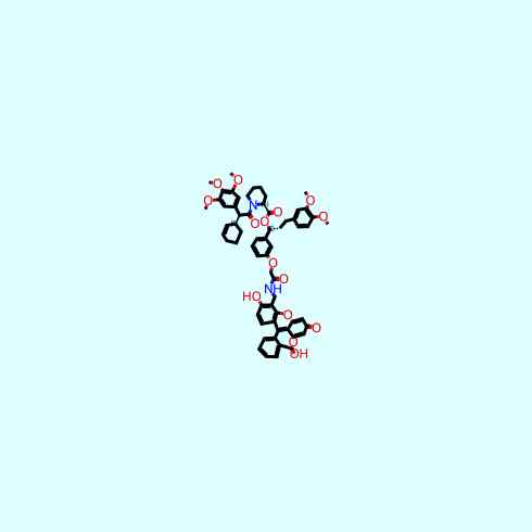 COc1ccc(CC[C@@H](OC(=O)[C@@H]2CCCCN2C(=O)C(c2cc(OC)c(OC)c(OC)c2)[C@@H]2C=CCCC2)c2cccc(OCC(=O)NCc3c(O)ccc4c(-c5ccccc5C(=O)O)c5ccc(=O)cc-5oc34)c2)cc1OC